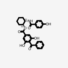 O=C(N[C@H]1CCCC[C@@H]1OC(=O)c1cc(O)c(C(=O)c2ccccc2)c(O)c1)c1ccc(O)cc1